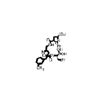 Cc1cccc(CC2(C(=O)N[C@@H](CC(C)C)B(O)O)CC(CNC(=O)c3cc(C(C)(C)C)nn3C(C)C)=NO2)c1